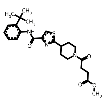 COC(=O)CCC(=O)N1CCC(c2nc(C(=O)Nc3ccccc3C(C)(C)C)cs2)CC1